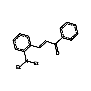 CCN(CC)c1ccccc1C=CC(=O)c1ccccc1